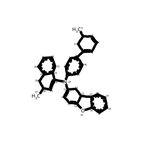 CC1C=CC=C(c2ccc(N(C3=CC=C4Oc5ccccc5C4C3)C3=CC(C)Cc4ccccc43)cc2)C1